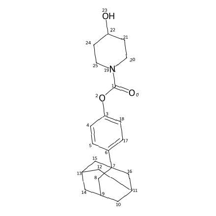 O=C(Oc1ccc(C23CC4CC(CC(C4)C2)C3)cc1)N1CCC(O)CC1